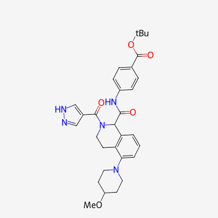 COC1CCN(c2cccc3c2CCN(C(=O)c2cn[nH]c2)C3C(=O)Nc2ccc(C(=O)OC(C)(C)C)cc2)CC1